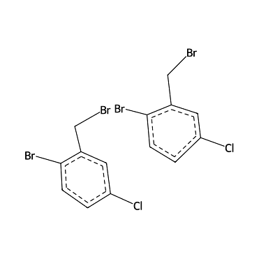 Clc1ccc(Br)c(CBr)c1.Clc1ccc(Br)c(CBr)c1